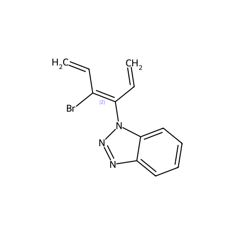 C=C/C(Br)=C(\C=C)n1nnc2ccccc21